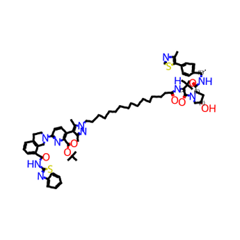 Cc1ncsc1-c1ccc([C@H](C)NC(=O)[C@@H]2C[C@@H](O)CN2C(=O)[C@@H](NC(=O)CCCCCCCCCCCCCCCn2nc(C)c(-c3ccc(N4CCc5cccc(C(=O)Nc6nc7ccccc7s6)c5C4)nc3C(=O)OC(C)(C)C)c2C)C(C)(C)C)cc1